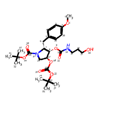 COc1ccc(C[C@@H]2[C@H](OC(=O)NCCCO)[C@@H](OC(=O)OC(C)(C)C)CN2C(=O)OC(C)(C)C)cc1